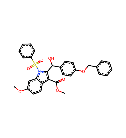 COC(=O)c1c(C(O)c2ccc(OCc3ccccc3)cc2)n(S(=O)(=O)c2ccccc2)c2cc(OC)ccc12